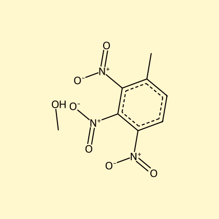 CO.Cc1ccc([N+](=O)[O-])c([N+](=O)[O-])c1[N+](=O)[O-]